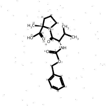 CC(C)[C@H](NC(=O)OCc1ccccc1)C(=O)N1CCC[C@@]1(C)C(=O)O